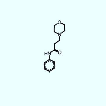 O=C(CCN1CCOCC1)Nc1cc[c]cc1